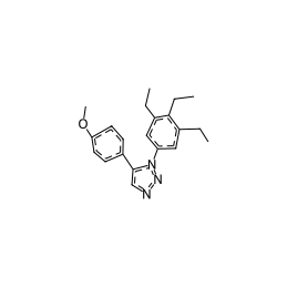 CCc1cc(-n2nncc2-c2ccc(OC)cc2)cc(CC)c1CC